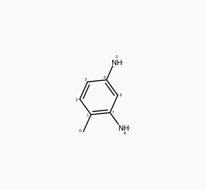 Cc1ccc([NH])cc1[NH]